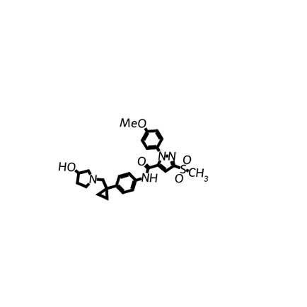 COc1ccc(-n2nc(S(C)(=O)=O)cc2C(=O)Nc2ccc(C3(CN4CCC(O)C4)CC3)cc2)cc1